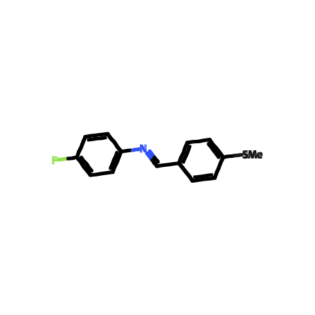 CSc1ccc(C=Nc2ccc(F)cc2)cc1